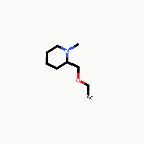 CC(=O)COCC1CCCCN1C